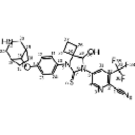 N#Cc1ncc(N2C(=S)N(c3ccc(OC4C5CCC4CNC5)cc3)C3(CCC3)C2O)cc1C(F)(F)F